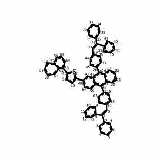 C(=C(c1ccccc1)c1ccccc1)c1ccc(-c2c3ccccc3c(-c3ccc(C=C(c4ccccc4)c4ccccc4)cc3)c3cc(-c4ccc(-c5cccc6ccccc56)s4)ccc23)cc1